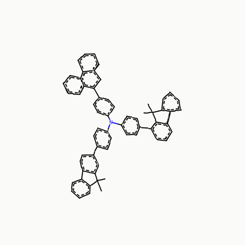 CC1(C)c2ccccc2-c2ccc(-c3ccc(N(c4ccc(-c5cccc6c5C(C)(C)c5ccccc5-6)cc4)c4ccc(-c5cc6ccccc6c6ccccc56)cc4)cc3)cc21